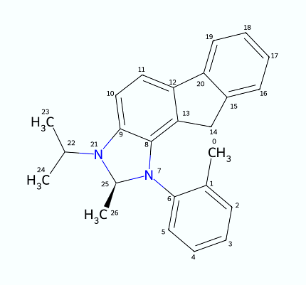 Cc1ccccc1N1c2c(ccc3c2Cc2ccccc2-3)N(C(C)C)[C@@H]1C